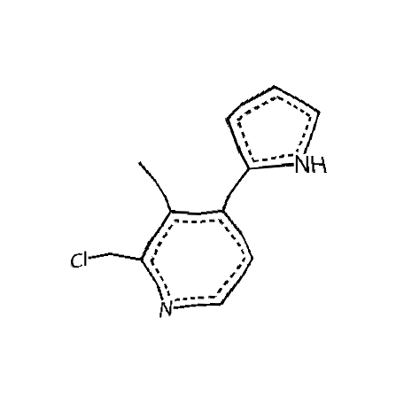 Cc1c(-c2ccc[nH]2)ccnc1Cl